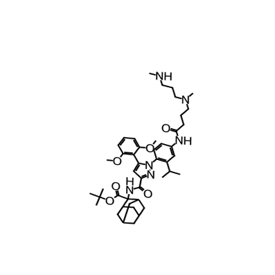 CNCCCN(C)CCCC(=O)Nc1ccc(-n2nc(C(=O)NC3(C(=O)OC(C)(C)C)C4CC5CC(C4)CC3C5)cc2-c2c(OC)cccc2OC)c(C(C)C)c1